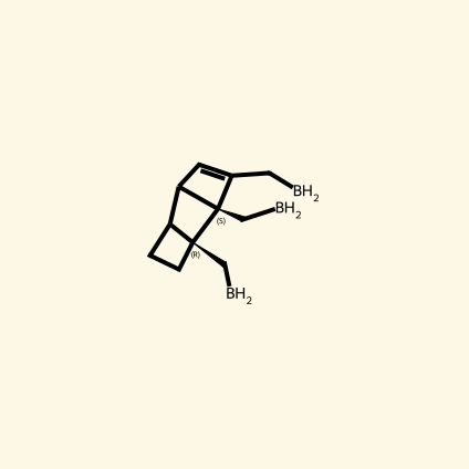 BCC1=CC2C3CC[C@@]3(CB)[C@@]12CB